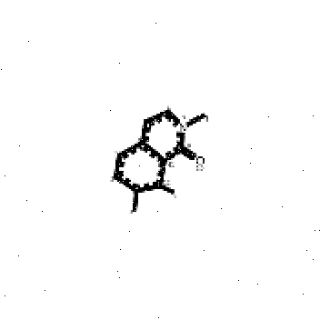 Cc1ccc2ccn(C)c(=O)c2c1C